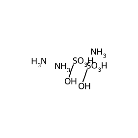 N.N.N.O=S(=O)(O)O.O=S(=O)(O)O